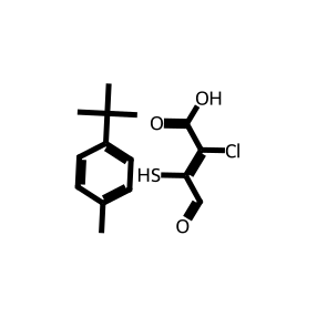 Cc1ccc(C(C)(C)C)cc1.O=CC(S)=C(Cl)C(=O)O